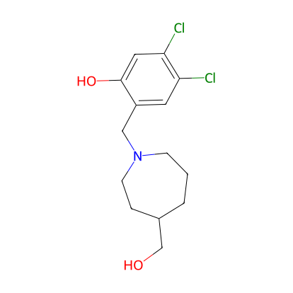 OCC1CCCN(Cc2cc(Cl)c(Cl)cc2O)CC1